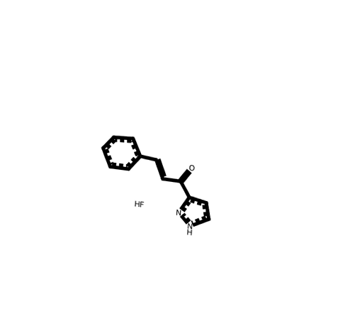 F.O=C(C=Cc1ccccc1)c1cc[nH]n1